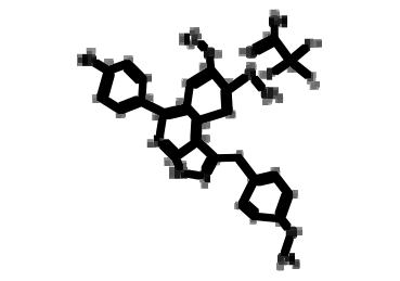 COc1ccc(Cc2n[nH]c3nc(-c4ccc(O)cc4)c4cc(OC)c(OC)cc4c23)cc1.O=C(O)C(F)(F)F